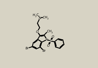 Cc1c(OCCN(C)C)c2cc(Br)cc(Br)c2n1S(=O)(=O)c1ccccc1